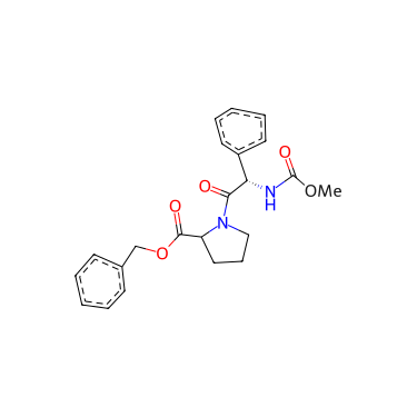 COC(=O)N[C@H](C(=O)N1CCCC1C(=O)OCc1ccccc1)c1ccccc1